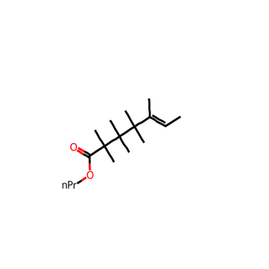 C/C=C(\C)C(C)(C)C(C)(C)C(C)(C)C(=O)OCCC